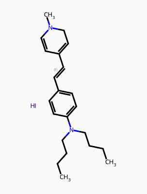 CCCCN(CCCC)c1ccc(/C=C/C2=CCN(C)C=C2)cc1.I